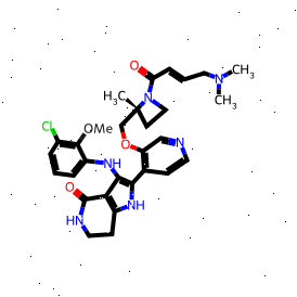 COc1c(Cl)cccc1Nc1c(-c2ccncc2OC[C@@]2(C)CCN2C(=O)/C=C/CN(C)C)[nH]c2c1C(=O)NCC2